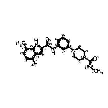 CNC(=O)N1CCN(c2cccc(NC(=O)c3cc4c(F)ccc(C)c4[nH]3)c2)CC1